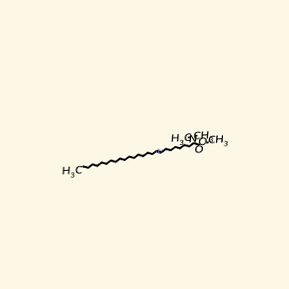 CCCCCCCCCCCCCCCCC/C=C/CCCCCCC(C(=O)OCC)N(C)C